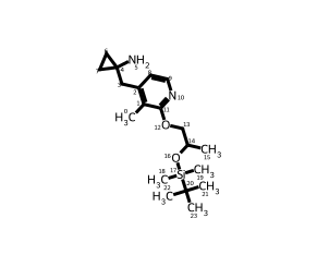 Cc1c(CC2(N)CC2)ccnc1OCC(C)O[Si](C)(C)C(C)(C)C